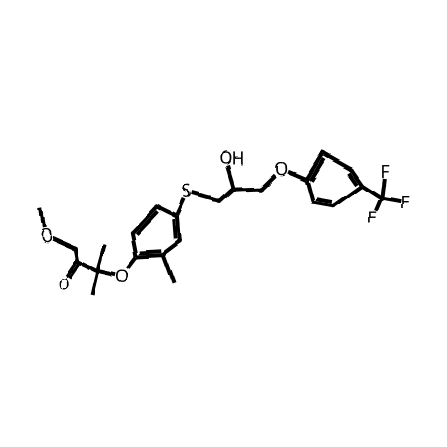 COCC(=O)C(C)(C)Oc1ccc(SCC(O)COc2ccc(C(F)(F)F)cc2)cc1C